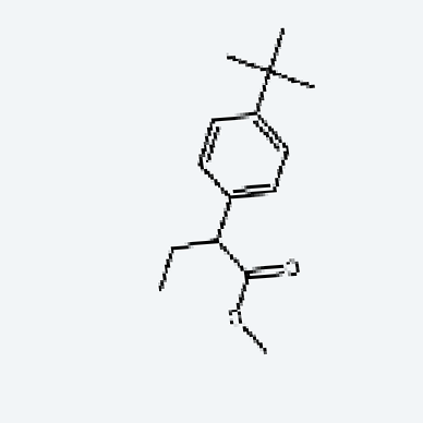 CCC(C(=O)OC)c1ccc(C(C)(C)C)cc1